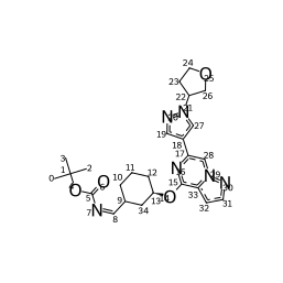 CC(C)(C)OC(=O)/N=C\C1CCC[C@@H](Oc2nc(-c3cnn(C4CCOC4)c3)cn3nccc23)C1